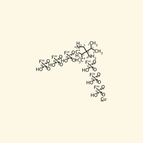 CC(C)C(N)(CN)C(C)C.O=S(=O)(O)F.O=S(=O)(O)F.O=S(=O)(O)F.O=S(=O)(O)F.O=S(=O)(O)F.O=S(=O)(O)F.[Cu]